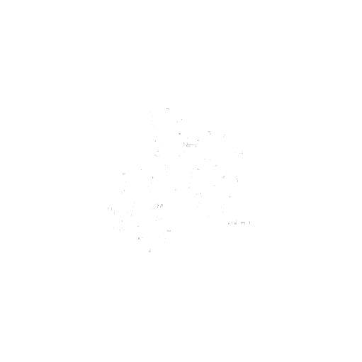 CCCCCc1ccc(-c2cc(-c3cccc4c3Nc3ccccc3C4(C)C)c3c4c2c2c5ccccc5ccc2n4-c2ccccc2B3)cc1